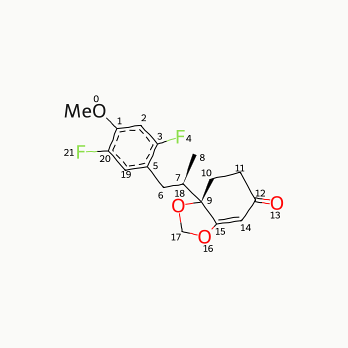 COc1cc(F)c(C[C@@H](C)[C@]23CCC(=O)C=C2OCO3)cc1F